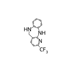 FC(F)(F)c1ccc2c(n1)Nc1ccccc1NC2